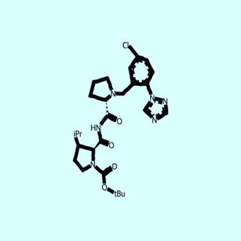 CC(C)C1CCN(C(=O)OC(C)(C)C)[C@@H]1C(=O)NC(=O)[C@@H]1CCCN1Cc1cc(Cl)ccc1-n1cncn1